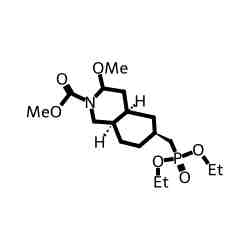 CCOP(=O)(C[C@H]1CC[C@H]2CN(C(=O)OC)C(OC)C[C@H]2C1)OCC